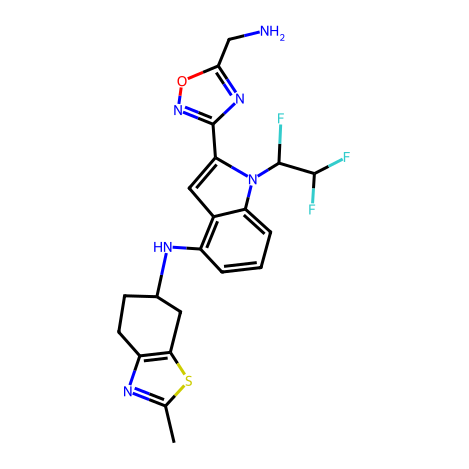 Cc1nc2c(s1)CC(Nc1cccc3c1cc(-c1noc(CN)n1)n3C(F)C(F)F)CC2